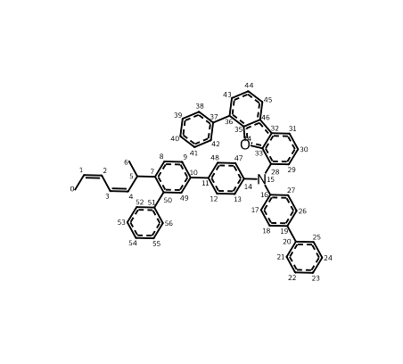 C/C=C\C=C/C(C)c1ccc(-c2ccc(N(c3ccc(-c4ccccc4)cc3)c3cccc4c3oc3c(-c5ccccc5)cccc34)cc2)cc1-c1ccccc1